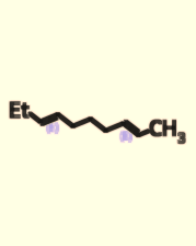 C/C=C/CCC/C=C/CC